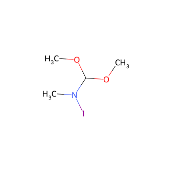 COC(OC)N(C)I